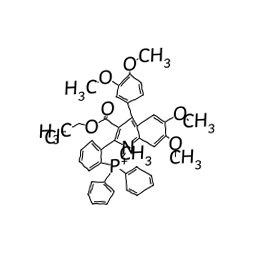 CCOC(=O)c1c(-c2ccccc2[P+](C)(c2ccccc2)c2ccccc2)nc2cc(OC)c(OC)cc2c1-c1ccc(OC)c(OC)c1.[Cl-]